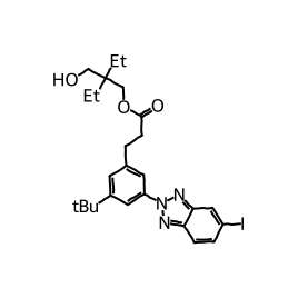 CCC(CC)(CO)COC(=O)CCc1cc(-n2nc3ccc(I)cc3n2)cc(C(C)(C)C)c1